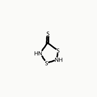 S=C1NSNS1